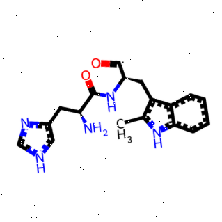 Cc1[nH]c2ccccc2c1C[C@H]([C]=O)NC(=O)[C@@H](N)Cc1c[nH]cn1